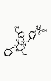 COC(=O)N[C@@H](Cc1ccccc1)C(=O)N[C@@H](Cc1ccc(NS(=O)(=O)O)cc1)c1nc(CO)cs1